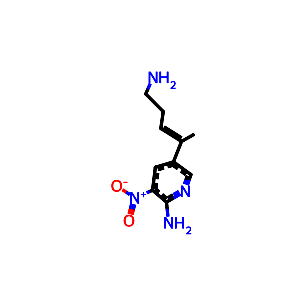 CC(=CCCN)c1cnc(N)c([N+](=O)[O-])c1